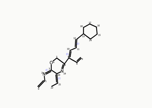 C=C/N=C1/OCC(C(/C=C)=C/C=C/C2CCCCC2)=N/C1=C/C